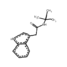 CC(C)(C)NC(=O)Cc1c[nH]c2ccccc12